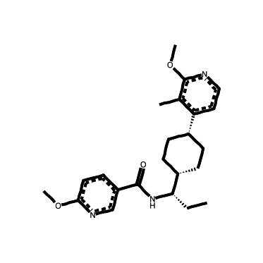 CC[C@H](NC(=O)c1ccc(OC)nc1)[C@H]1CC[C@@H](c2ccnc(OC)c2C)CC1